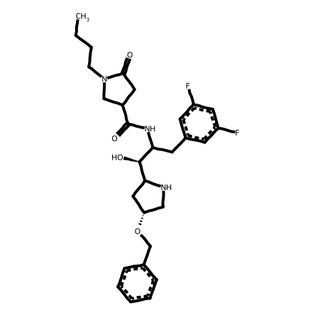 CCCCN1CC(C(=O)NC(Cc2cc(F)cc(F)c2)[C@H](O)C2C[C@@H](OCc3ccccc3)CN2)CC1=O